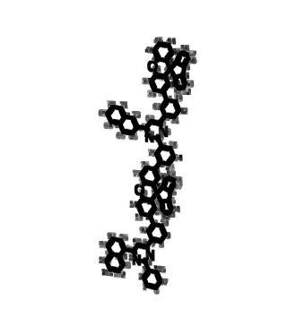 c1ccc(-c2nc(-c3cccc(-c4ccc5c(c4)C4(c6cc(-c7cccc(-c8nc(-c9cccc(-c%10ccc%11c(c%10)C%10(c%12ccccc%12O%11)c%11ccccc%11-c%11ccccc%11%10)c9)cc(-c9ccc%10ccccc%10c9)n8)c7)ccc6O5)c5ccccc5-c5ccccc54)c3)cc(-c3cccc4ccccc34)n2)cc1